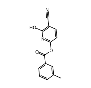 Cc1cccc(C(=O)Oc2ccc(C#N)c(O)n2)c1